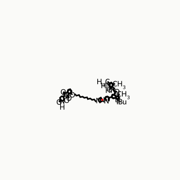 CC[C@H](C)n1cc(C)c2c(C(=O)NCc3c(C)cc(C)[nH]c3=O)cc(-c3ccc(N4CCN(CCCCCCCCCCCCOc5cccc6c5C(=O)N(C5CCC(=O)NC5=O)C6=O)CC4)nc3)cc21